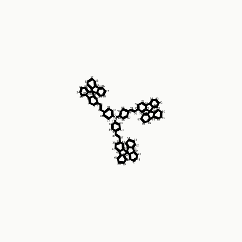 C(=C\c1ccc2c(c1)C1(c3ccccc3-c3ccccc31)c1ccccc1-2)/c1ccc(N(c2ccc(/C=C/c3ccc4c(c3)C3(c5ccccc5-c5ccccc53)c3ccccc3-4)cc2)c2ccc(/C=C/c3ccc4c(c3)C3(c5ccccc5-c5ccccc53)c3ccccc3-4)cc2)cc1